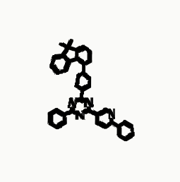 CC1(C)c2ccccc2-c2c(-c3ccc(-c4nc(-c5ccccc5)nc(-c5ccc(-c6ccccc6)nc5)n4)cc3)cccc21